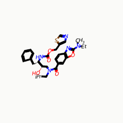 CCN(C)c1nc2ccc(C(=O)N(CC(C)C)C[C@H](O)[C@H](Cc3ccccc3)NC(=O)OCc3cncs3)cc2o1